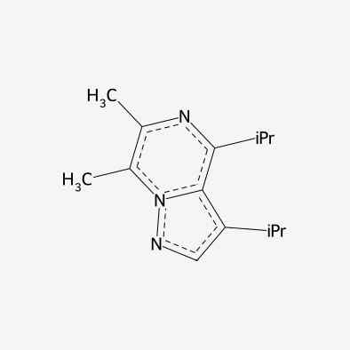 Cc1nc(C(C)C)c2c(C(C)C)cnn2c1C